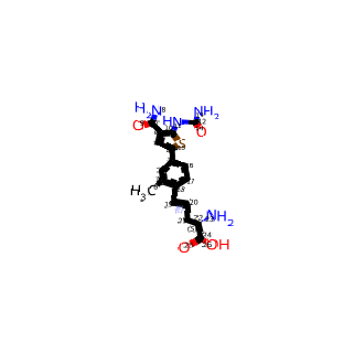 Cc1cc(-c2cc(C(N)=O)c(NC(N)=O)s2)ccc1/C=C/C[C@H](N)C(=O)O